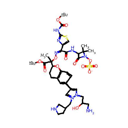 CC(C)(C)OC(=O)Nc1nc(/C(=N/OC(C)(C(=O)OC(C)(C)C)C2CCc3cc(-c4cn(CC(O)CN)[n+](CC5CCNC5)c4)ccc3O2)C(=O)NC2C(=O)N(OS(=O)(=O)[O-])C2(C)C)cs1